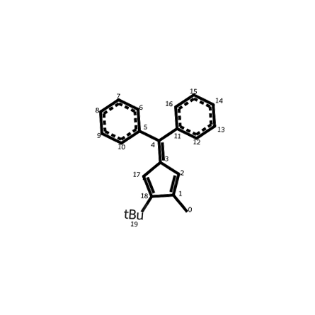 CC1=CC(=C(c2ccccc2)c2ccccc2)[C]=C1C(C)(C)C